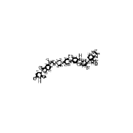 CCc1cc(Nc2ncc(Br)c(Nc3ccc4nccnc4c3P(C)(C)=O)n2)c(OC)cc1N1CCC(N2CCN(CCN(C)c3ccc4c(c3)C(=O)N(C3CCC(=O)NC3=O)C4)CC2)CC1